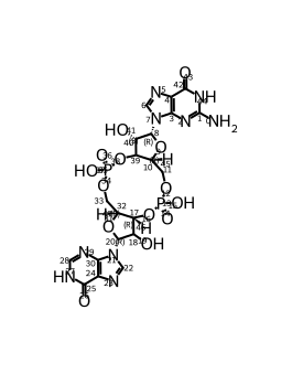 Nc1nc2c(ncn2[C@@H]2O[C@@H]3COP(=O)(O)O[C@@H]4C(O)[C@H](n5cnc6c(=O)[nH]cnc65)O[C@@H]4COP(=O)(O)OC3[C@@H]2O)c(=O)[nH]1